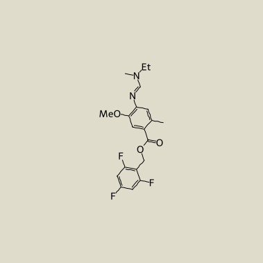 CCN(C)/C=N/c1cc(C)c(C(=O)OCc2c(F)cc(F)cc2F)cc1OC